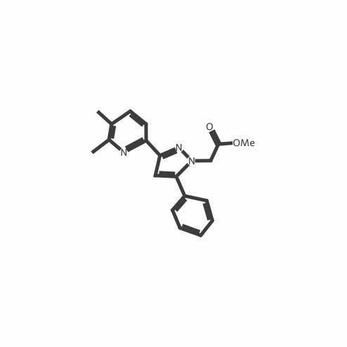 COC(=O)Cn1nc(-c2ccc(C)c(C)n2)cc1-c1ccccc1